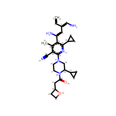 C=CC(=C/N)/C=C(\N)c1c(C2CC2)nc(N2CCN(C(=O)CC3CCO3)C(C3CC3)C2)c(C#N)c1C